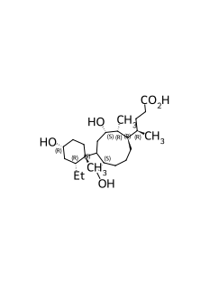 CC[C@@H]1C[C@H](O)CC[C@]1(C)C1C[C@H](O)[C@H](C)[C@@H]([C@H](C)CCC(=O)O)CCC[C@@H]1CO